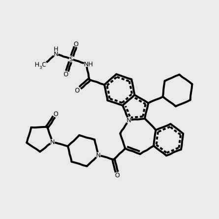 CNS(=O)(=O)NC(=O)c1ccc2c(C3CCCCC3)c3n(c2c1)CC(C(=O)N1CCC(N2CCCC2=O)CC1)=Cc1ccccc1-3